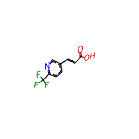 O=C(O)/C=C/c1ccc(C(F)(F)F)nc1